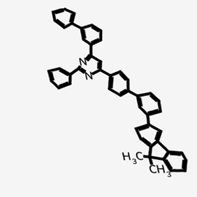 CC1(C)c2ccccc2-c2cc(-c3cccc(-c4ccc(-c5cc(-c6cccc(-c7ccccc7)c6)nc(-c6ccccc6)n5)cc4)c3)ccc21